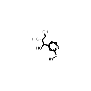 CC(C)Oc1cc(C(O)[C@H](C)CO)ccn1